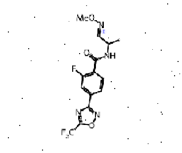 CO/N=C/C(C)NC(=O)c1ccc(-c2noc(C(F)(F)F)n2)cc1F